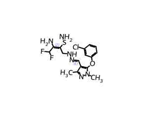 Cc1nn(C)c(Oc2cccc(Cl)c2)c1/C=N/NC/C(SN)=C(/N)C(F)F